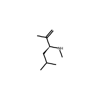 C=C(C)[C@H](CC(C)C)NC